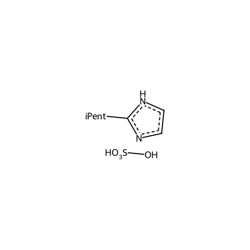 CCCC(C)c1ncc[nH]1.O=S(=O)(O)O